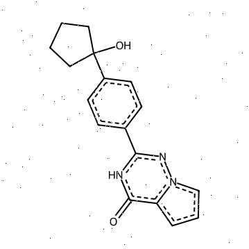 O=c1[nH]c(-c2ccc(C3(O)CCCC3)cc2)nn2cccc12